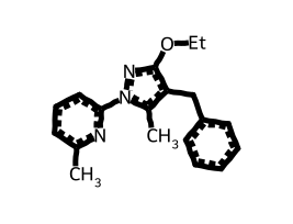 CCOc1nn(-c2cccc(C)n2)c(C)c1Cc1ccccc1